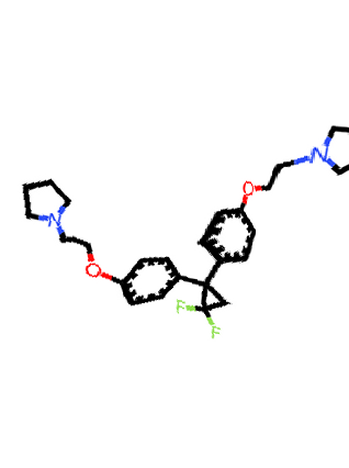 FC1(F)CC1(c1ccc(OCCN2CCCC2)cc1)c1ccc(OCCN2CCCC2)cc1